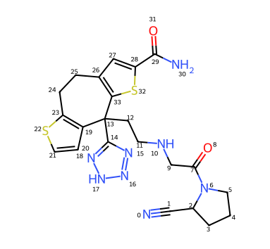 N#CC1CCCN1C(=O)CNCCC1(c2nn[nH]n2)c2ccsc2CCc2cc(C(N)=O)sc21